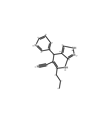 CCCC1=C(C#N)C(c2cccnc2)c2c[nH]nc2N1